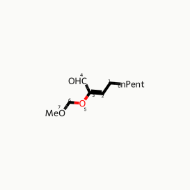 CCCCCC/C=C(\C=O)OCOC